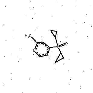 Cc1cc(P(=O)(C2CC2)C2CC2)ncn1